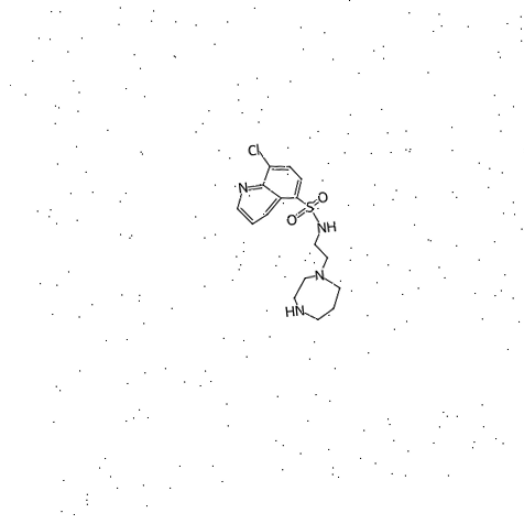 O=S(=O)(NCCN1CCCNCC1)c1ccc(Cl)c2ncccc12